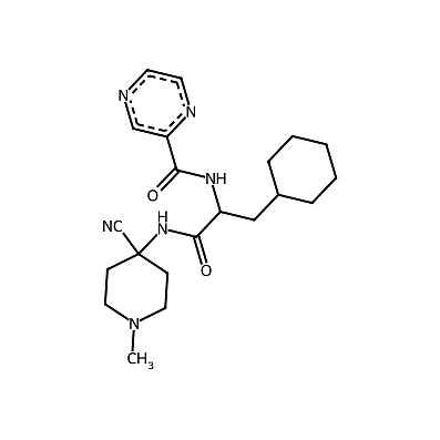 CN1CCC(C#N)(NC(=O)C(CC2CCCCC2)NC(=O)c2cnccn2)CC1